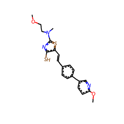 COCCN(C)c1nc(S)c(/C=C/c2ccc(-c3ccc(OC)nc3)cc2)s1